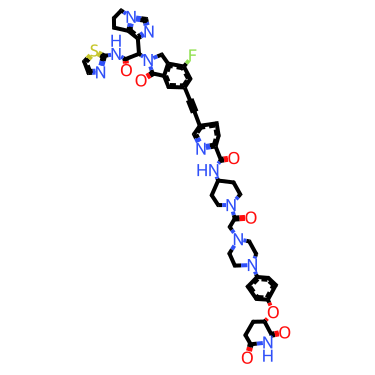 O=C1CCC(Oc2ccc(N3CCN(CC(=O)N4CCC(NC(=O)c5ccc(C#Cc6cc(F)c7c(c6)C(=O)N(C(C(=O)Nc6nccs6)c6ncn8c6CCC8)C7)cn5)CC4)CC3)cc2)C(=O)N1